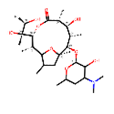 CC[C@@H](O)[C@@](C)(O)[C@@H]1OC(=O)[C@H](C)[C@@H](O)[C@H](C)[C@@H](O[C@@H]2OC(C)CC(N(C)C)C2O)[C@@]2(C)CC(C)C(O2)[C@@H]1C